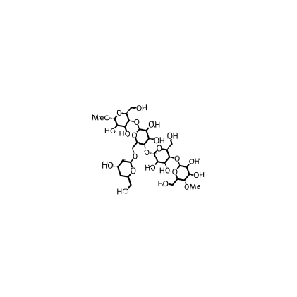 CO[C@@H]1O[C@@H](CO)[C@@H](O[C@@H]2OC(CO[C@@H]3C[C@@H](O)CC(CO)O3)[C@@H](O[C@@H]3O[C@@H](CO)[C@@H](O[C@@H]4OC(CO)[C@@H](OC)[C@H](O)C4O)C(O)C3O)[C@H](O)C2O)C(O)C1O